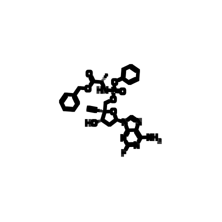 C#C[C@]1(COP(=O)(N[C@@H](C)C(=O)OCc2ccccc2)Oc2ccccc2)O[C@@H](n2cnc3c(N)nc(F)nc32)C[C@@H]1O